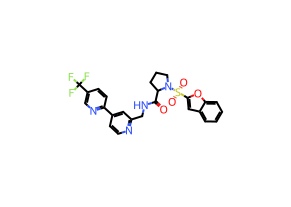 O=C(NCc1cc(-c2ccc(C(F)(F)F)cn2)ccn1)C1CCCN1S(=O)(=O)c1cc2ccccc2o1